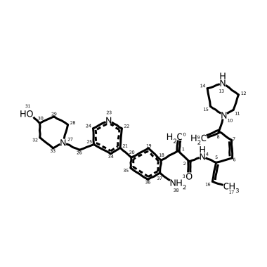 C=C(C(=O)NC(/C=C\C(=C)N1CCNCC1)=C/C)c1cc(-c2cncc(CN3CCC(O)CC3)c2)ccc1N